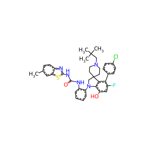 Cc1ccc2nc(NC(=O)Nc3ccccc3N3CC4(CCN(CC(C)(C)C)CC4)c4c(-c5ccc(Cl)cc5)c(F)cc(O)c43)sc2c1